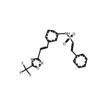 O=S(=O)(C=Cc1ccccc1)Nc1cccc(C=Cc2noc(C(F)(F)F)n2)c1